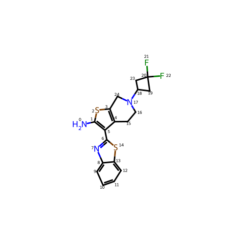 Nc1sc2c(c1-c1nc3ccccc3s1)CCN(C1CC(F)(F)C1)C2